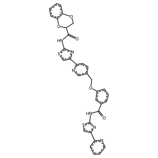 O=C(Nc1nc(-c2ccccn2)cs1)c1cccc(OCc2ccc(-c3csc(NC(=O)C4COc5ccccc5O4)n3)nc2)c1